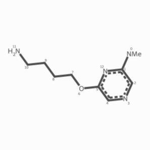 CNc1cncc(OCCCCN)n1